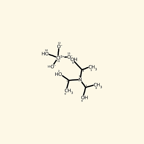 CC(O)N(C(C)O)C(C)O.[O-][Cl+3]([O-])([O-])O